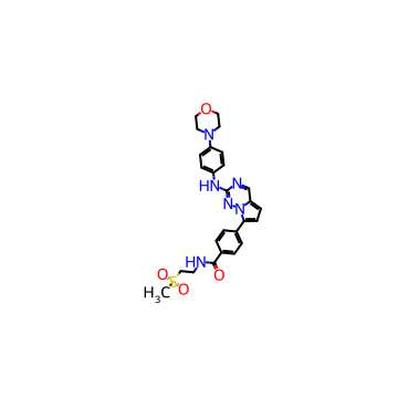 CS(=O)(=O)CCNC(=O)c1ccc(-c2ccc3cnc(Nc4ccc(N5CCOCC5)cc4)nn23)cc1